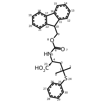 CC(C)(C[C@H](NC(=O)OCC1c2ccccc2-c2ccccc21)C(=O)O)Sc1ccccc1